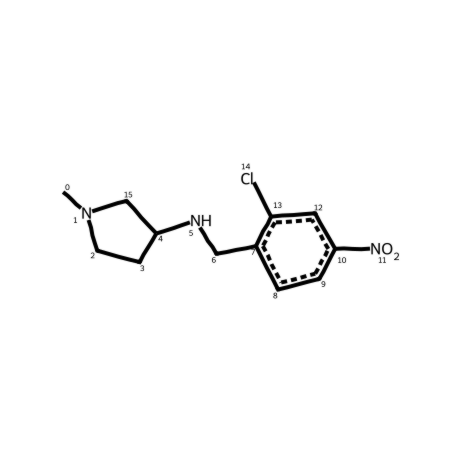 CN1CCC(NCc2ccc([N+](=O)[O-])cc2Cl)C1